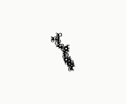 CC(=O)OCC(COC(C)=O)OC(=O)CC(C)CC(=O)Oc1cc(C)cc(C)c1C(C)(C)CC(=O)O[C@@H]1CC[C@@]2(C)[C@@H](CC[C@@H]3[C@@H]2CC[C@]2(C)C(C(C)=O)CC[C@@H]32)C1